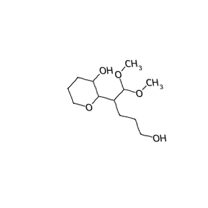 COC(OC)C(CCCO)C1OCCCC1O